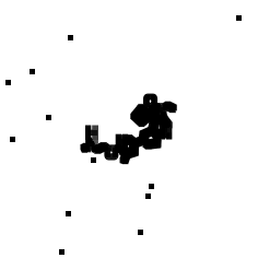 CCN1C(=O)C2(CCC2)c2c1cnc1ccc(-c3cnc(OCCNC)c(C)c3)cc21